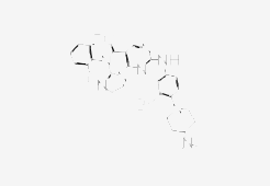 CN(C)C1CCN(c2ccc(Nc3ncc4c(n3)N3CCN=C3N(c3c(F)cccc3Cl)C4=O)cc2Br)CC1